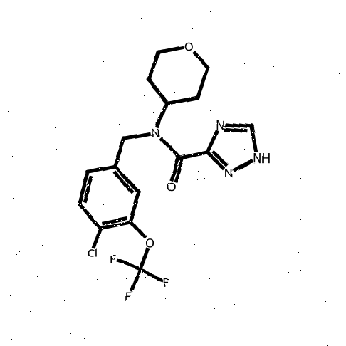 O=C(c1nc[nH]n1)N(Cc1ccc(Cl)c(OC(F)(F)F)c1)C1CCOCC1